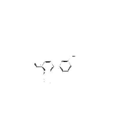 COc1cccc(-c2ccc(C=O)c(OC)c2)c1